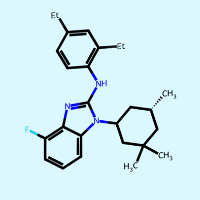 CCc1ccc(Nc2nc3c(F)cccc3n2C2C[C@H](C)CC(C)(C)C2)c(CC)c1